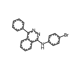 Brc1ccc(Nc2nnc(-c3ccccc3)c3ccccc23)cc1